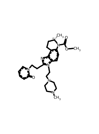 COC(=O)N1c2ccc3c(nc(CCn4ccccc4=O)n3CCN3CCN(C)CC3)c2CC[C@@H]1C